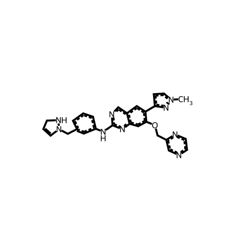 Cn1ccc(-c2cc3cnc(Nc4cccc(CN5C=CCN5)c4)nc3cc2OCc2cnccn2)n1